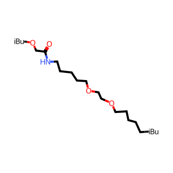 CCC(C)CCCCCOCCOCCCCCNC(=O)COC(C)CC